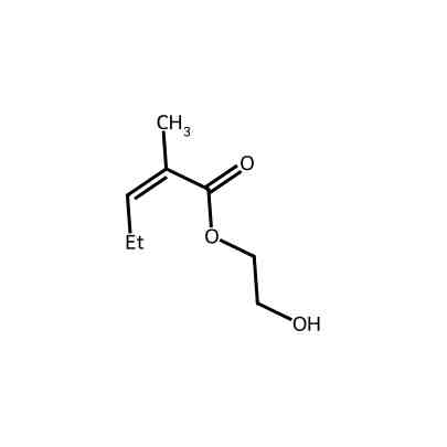 CCC=C(C)C(=O)OCCO